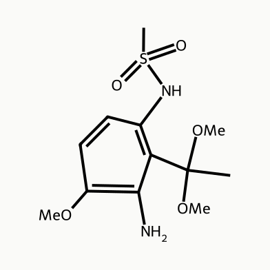 COc1ccc(NS(C)(=O)=O)c(C(C)(OC)OC)c1N